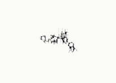 Cn1cnc2ccc(-c3cc(C(F)(F)F)c(N[C@@H]4C[C@@H]5CN(Cc6ccccn6)C[C@@H]5C4)nn3)cc21